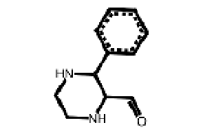 O=CC1NCCNC1c1ccccc1